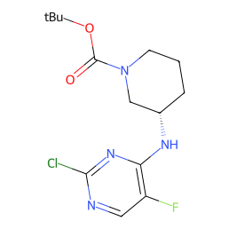 CC(C)(C)OC(=O)N1CCC[C@H](Nc2nc(Cl)ncc2F)C1